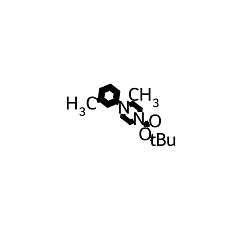 Cc1cccc(N2CCN(C(=O)OC(C)(C)C)C[C@@H]2C)c1